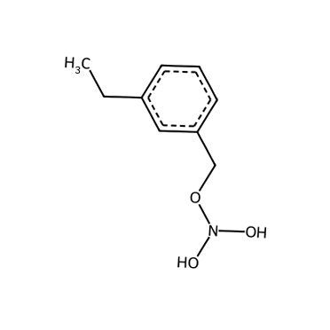 CCc1cccc(CON(O)O)c1